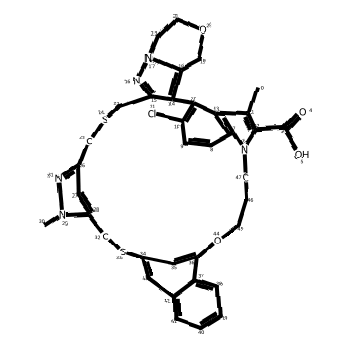 Cc1c(C(=O)O)n2c3ccc(Cl)c(c13)-c1c(nn3c1COCC3)CSCc1cc(n(C)n1)CSc1cc(c3ccccc3c1)OCCC2